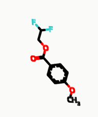 COc1ccc(C(=O)OCC(F)F)cc1